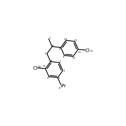 CC(C)c1ccc(CC(C)c2ccc(Cl)cc2)c(Cl)c1